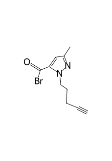 C#CCCCn1nc(C)cc1C(=O)Br